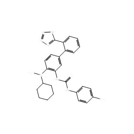 Cc1ccc(NC(=O)Nc2cc(-c3ccccc3-c3nnn[nH]3)ccc2N(C)C2CCCCC2)cc1